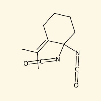 CC(C)=C1CCCCC1(N=C=O)N=C=O